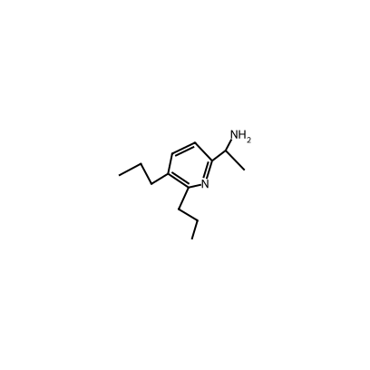 CCCc1ccc(C(C)N)nc1CCC